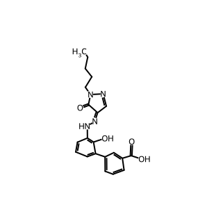 CCCCCN1N=C/C(=N/Nc2cccc(-c3cccc(C(=O)O)c3)c2O)C1=O